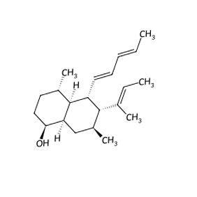 CC=CC=C[C@@H]1[C@H](C(C)=CC)[C@@H](C)C[C@@H]2[C@H]1[C@@H](C)CC[C@@H]2O